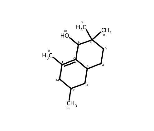 CC1=C2C(CCC(C)(C)C2O)CC(C)C1